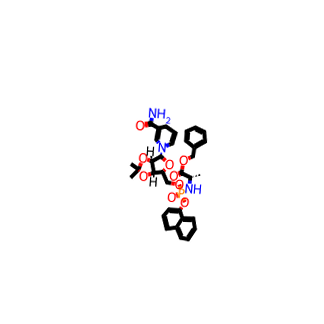 C[C@H](NP(=O)(OCC1O[C@@H](N2C=CCC(C(N)=O)=C2)[C@@H]2OC(C)(C)O[C@H]12)Oc1cccc2ccccc12)C(=O)OCc1ccccc1